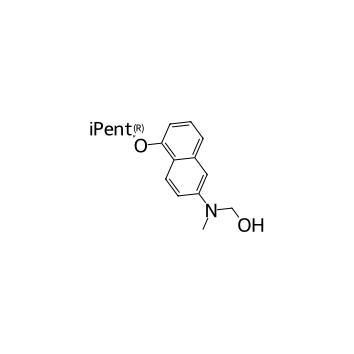 CCC[C@@H](C)Oc1cccc2cc(N(C)CO)ccc12